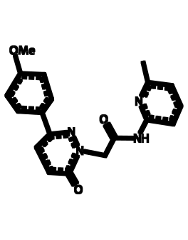 COc1ccc(-c2ccc(=O)n(CC(=O)Nc3cccc(C)n3)n2)cc1